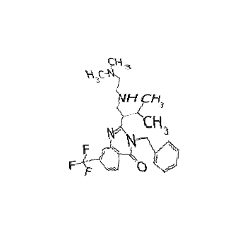 CC(C)C(CNCCN(C)C)c1nc2cc(C(F)(F)F)ccc2c(=O)n1Cc1ccccc1